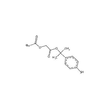 CCC(C)C(=O)OCC(=O)OC(C)(C)c1ccc(S)cc1